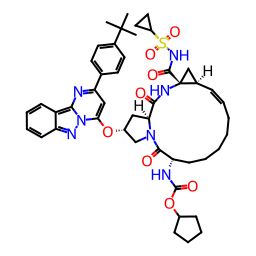 CC(C)(C)c1ccc(-c2cc(O[C@@H]3C[C@H]4C(=O)N[C@]5(C(=O)NS(=O)(=O)C6CC6)C[C@H]5/C=C\CCCCC[C@H](NC(=O)OC5CCCC5)C(=O)N4C3)n3nc4ccccc4c3n2)cc1